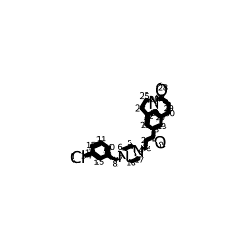 O=C(CCN1CCN(Cc2cccc(Cl)c2)CC1)c1cc2c3c(c1)CCN3C(=O)CC2